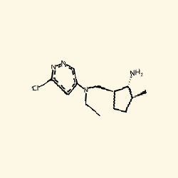 CCN(C[C@@H]1CC[C@H](C)[C@H]1N)c1cnnc(Cl)c1